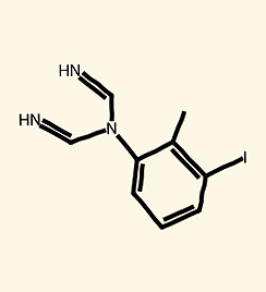 Cc1c(I)cccc1N(C=N)C=N